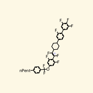 CCCCCc1ccc(C(F)(F)Oc2cc(F)c(/C(F)=C(\F)C3CCC(c4ccc(-c5cc(F)c(F)c(F)c5)c(F)c4)CC3)c(F)c2)cc1